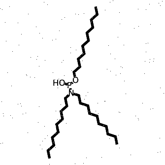 CCCCCCCCCCCOP(O)N(CCCCCCCCCC)CCCCCCCCCC